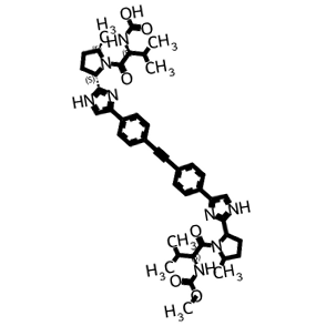 COC(=O)N[C@H](C(=O)N1C(C)CCC1c1nc(-c2ccc(C#Cc3ccc(-c4c[nH]c([C@@H]5CC[C@H](C)N5C(=O)[C@@H](NC(=O)O)C(C)C)n4)cc3)cc2)c[nH]1)C(C)C